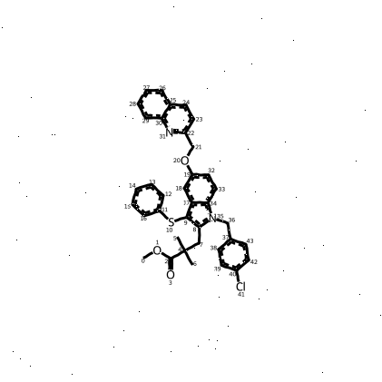 COC(=O)C(C)(C)Cc1c(Sc2ccccc2)c2cc(OCc3ccc4ccccc4n3)ccc2n1Cc1ccc(Cl)cc1